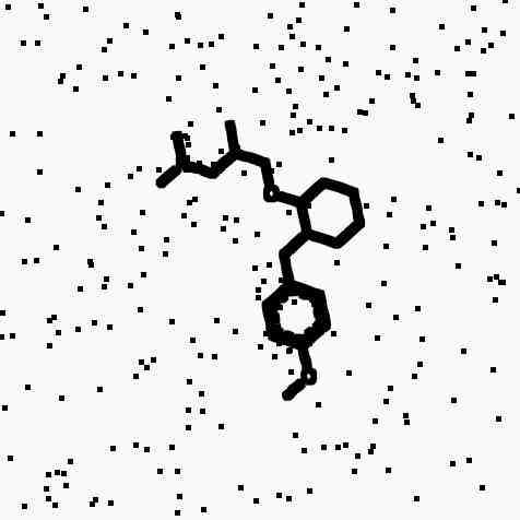 COc1ccc(CC2CCCCC2OCC(C)CN(C)C)cc1